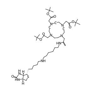 C=C(CN1CCN(CC(=O)OC(C)(C)C)CCN(CC(=O)OC(C)(C)C)CCN(CC(=O)OC(C)(C)C)CC1)NCCCCCCNCCCCC[C@@H]1SC[C@@H]2NC(=O)N[C@@H]21